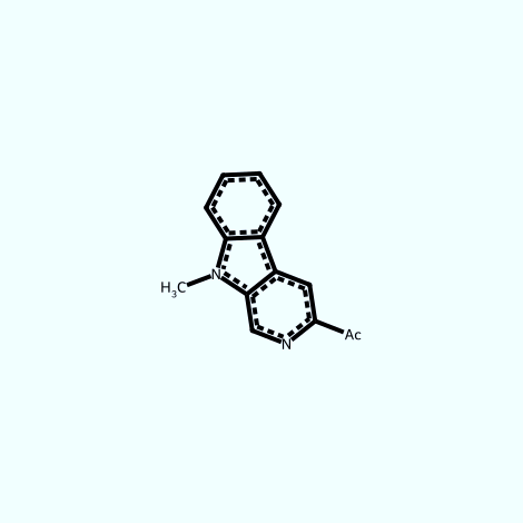 CC(=O)c1cc2c3ccccc3n(C)c2cn1